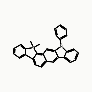 C[Si]1(C)c2ccccc2-c2ccc3cc4c5ccccc5n(-c5ccccc5)c4cc3c21